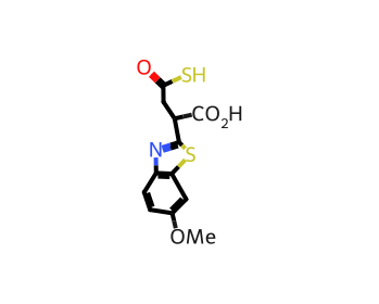 COc1ccc2nc(C(CC(=O)S)C(=O)O)sc2c1